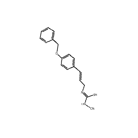 N#CN/C(S)=N/C/C=C/c1ccc(OCc2ccccc2)cc1